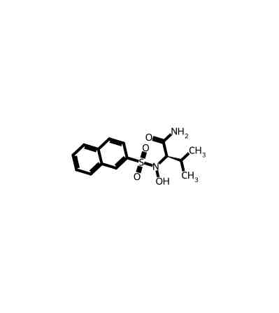 CC(C)[C@H](C(N)=O)N(O)S(=O)(=O)c1ccc2ccccc2c1